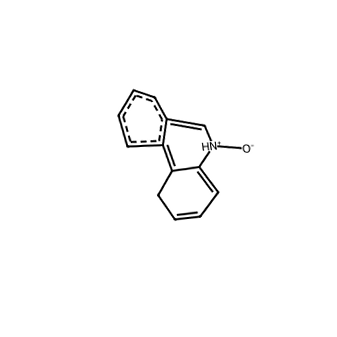 [O-][NH+]1C=c2ccccc2=C2CC=CC=C21